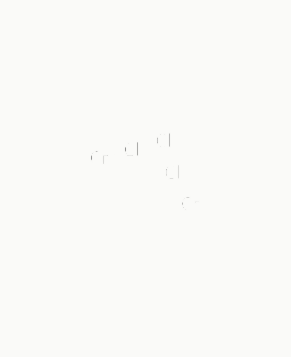 [Cl-].[Cl-].[Cl-].[Cr+3].[Cr]